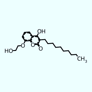 CCCCCCCCCCc1c(O)c2cccc(OCCO)c2oc1=O